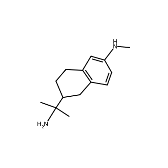 CNc1ccc2c(c1)CCC(C(C)(C)N)C2